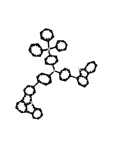 c1ccc([Si](c2ccccc2)(c2ccccc2)c2ccc(N(c3ccc(-c4ccc5c6cccc7c8ccccc8n(c5c4)c76)cc3)c3ccc(-c4cccc5c4oc4ccccc45)cc3)cc2)cc1